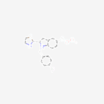 COOSc1ccc2c(c1)cc(-c1nccs1)n2Cc1ccc(F)cc1